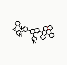 c1ccc(-c2ccccc2-c2c3ccccc3c(-c3ccc4cc(-c5ccc6c(c5)c5ncccc5n6-c5ccccc5C5CC5)cc(-c5ccncc5)c4c3)c3ccccc23)cc1